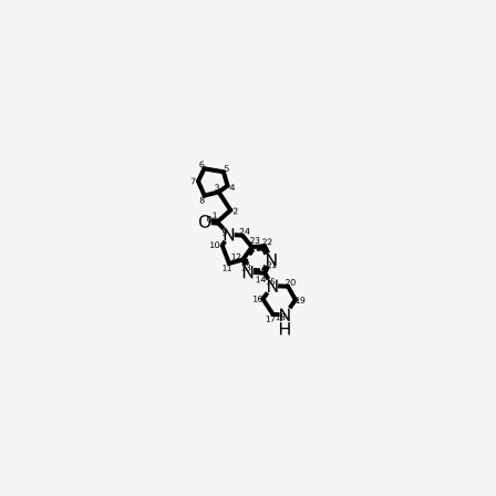 O=C(CC1CCCCC1)N1CCc2nc(N3CCNCC3)ncc2C1